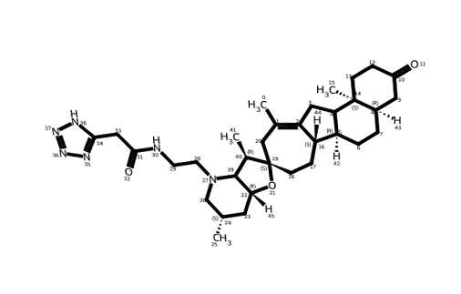 CC1=C2CC3[C@@H](CC[C@@H]4CC(=O)CC[C@]34C)[C@@H]2CC[C@@]2(C1)O[C@@H]1C[C@H](C)CN(CCNC(=O)Cc3nnn[nH]3)C1[C@H]2C